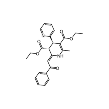 CCOC(=O)C1=C(C)N/C(=C\C(=O)c2ccccc2)[C@H](C(=O)OCC)[C@H]1c1ccccn1